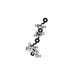 C[C@H](NC(CCc1ccc(CNS(=O)(=O)c2cc3c(cc2Cl)N[C@H](CCc2ccccc2)NS3)cc1)C(=O)O)C(=O)N1CCC[C@H]1C(=O)O